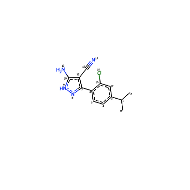 CC(C)c1ccc(-c2n[nH]c(N)c2C#N)c(Cl)c1